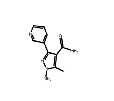 Cc1c(C(N)=O)c(-c2cccnc2)nn1N